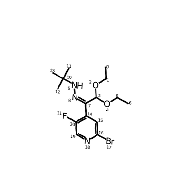 CCOC(OCC)C(=NNC(C)(C)C)c1cc(Br)ncc1F